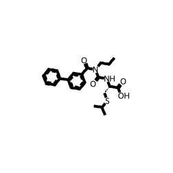 CCCN(C(=O)N[C@@H](CSC(C)C)C(=O)O)C(=O)c1cccc(-c2ccccc2)c1